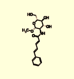 CO[C@@H]1O[C@H](CO)[C@@H](O)[C@H](O)[C@H]1NC(=O)/C=C/C=C/c1ccccc1